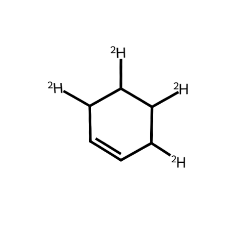 [2H]C1C=CC([2H])C([2H])C1[2H]